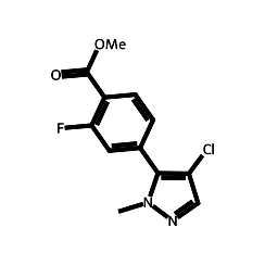 COC(=O)c1ccc(-c2c(Cl)cnn2C)cc1F